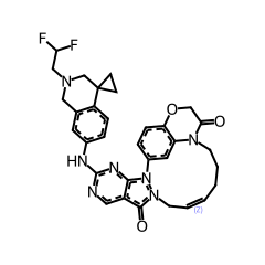 O=C1COc2ccc3cc2N1CCC/C=C\Cn1c(=O)c2cnc(Nc4ccc5c(c4)CN(CC(F)F)CC54CC4)nc2n1-3